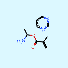 C=C(C)C(=O)OC(C)N.c1cncnc1